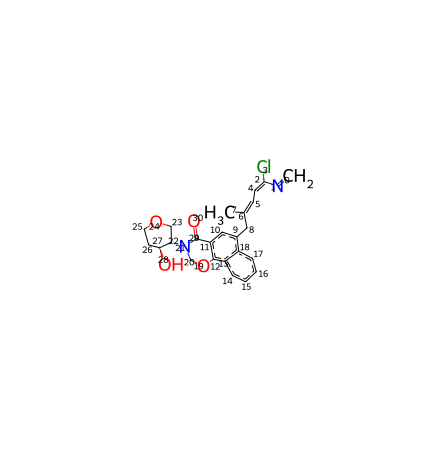 C=N/C(Cl)=C\C=C(/C)Cc1cc2c(c3ccccc13)OCN([C@H]1COCC[C@@H]1O)C2=O